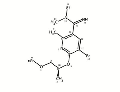 CCCOC[C@H](C)Oc1nc(C)c(C(=N)N(C)CC)cc1Br